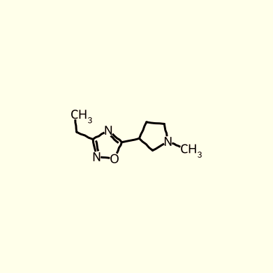 CCc1noc(C2CCN(C)C2)n1